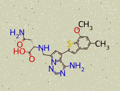 COc1cc(C)cc2cc(-c3cc(CN[C@@H](CC(N)=O)C(=O)O)n4ncnc(N)c34)sc12